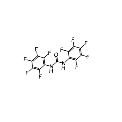 O=C(Nc1c(F)c(F)c(F)c(F)c1F)Nc1c(F)c(F)c(F)c(F)c1F